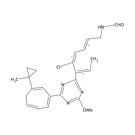 C\C=C(/C(Cl)=C\C=C\CNC=O)c1nc(OC)nc(C2=CC=CCC(C3(C)CC3)=C2)n1